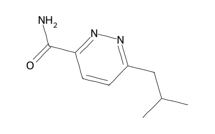 CC(C)Cc1ccc(C(N)=O)nn1